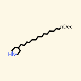 [CH2]CCCCCCCCCCCCCCCCCCCCCCCC1CCNCC1